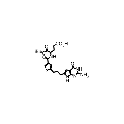 CCC(C)OC(=O)C(CCC(=O)O)NC(=O)c1csc(CCCc2cc3c(=O)[nH]c(N)nc3[nH]2)c1